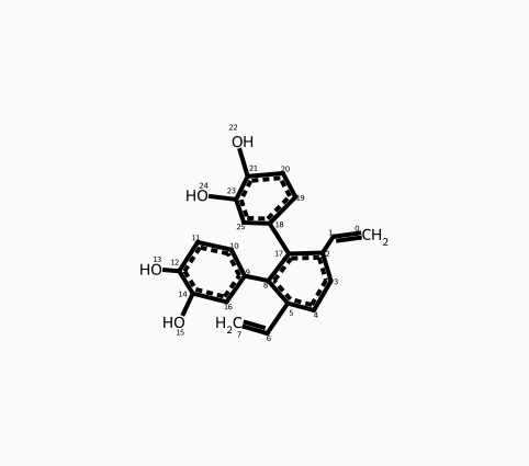 C=Cc1ccc(C=C)c(-c2ccc(O)c(O)c2)c1-c1ccc(O)c(O)c1